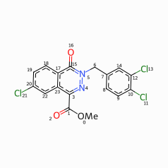 COC(=O)c1nn(Cc2ccc(Cl)c(Cl)c2)c(=O)c2ccc(Cl)cc12